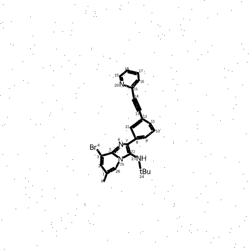 Cc1cc(Br)c2nc(-c3cccc(C#Cc4ccccn4)c3)c(NC(C)(C)C)n2c1